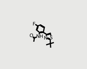 CC(=O)Nc1cc(F)ccc1-c1csc(C(C)(C)C)n1